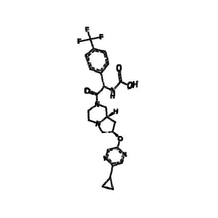 O=C(O)NC(C(=O)N1CCN2C[C@H](Oc3cnc(C4CC4)cn3)C[C@H]2C1)c1ccc(C(F)(F)F)cc1